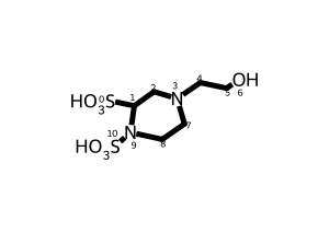 O=S(=O)(O)C1CN(CCO)CCN1S(=O)(=O)O